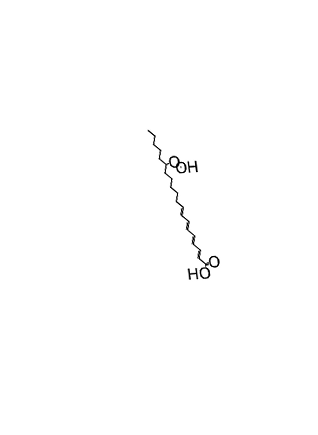 CCCCCC(CCCCCC=CC=CC=CC=CC(=O)O)OO